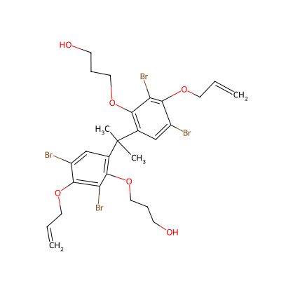 C=CCOc1c(Br)cc(C(C)(C)c2cc(Br)c(OCC=C)c(Br)c2OCCCO)c(OCCCO)c1Br